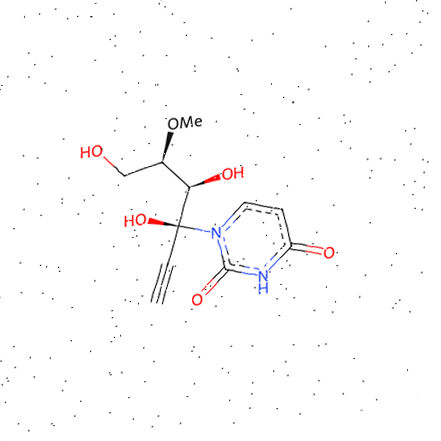 C#C[C@](O)([C@H](O)[C@@H](CO)OC)n1ccc(=O)[nH]c1=O